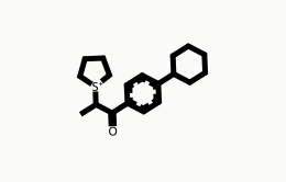 CC(C(=O)c1ccc(C2CCCCC2)cc1)[S+]1CCCC1